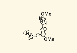 COc1cc(OCc2csc(N3CCC[C@H]3C)n2)c2cc(-c3cn4nc(OC)sc4n3)oc2c1